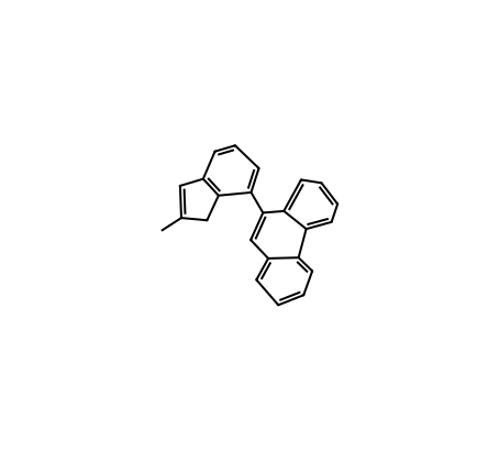 CC1=Cc2cccc(-c3cc4ccccc4c4ccccc34)c2C1